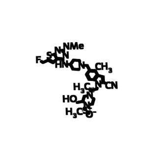 CNc1nc(NC2CCN(Cc3ccc4c(cc(C#N)n4C[C@H](C)N4CCN([S+](C)[O-])C(CO)C4)c3C)CC2)c2cc(CF)sc2n1